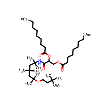 CCCCCCCCCCCCCCCCCC(=O)OCC(OC(=O)CCCCCCCCCCCCCCCCC)C(=O)NC(C)(C)CC(C)(C)CC(C)(CC)OCCC(C)(C)OC